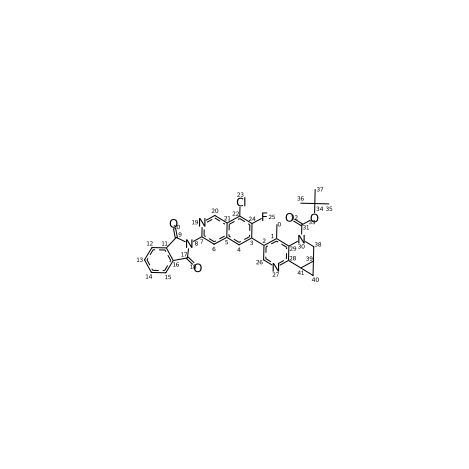 Cc1c(-c2cc3cc(N4C(=O)c5ccccc5C4=O)ncc3c(Cl)c2F)cnc2c1N(C(=O)OC(C)(C)C)CC1CC21